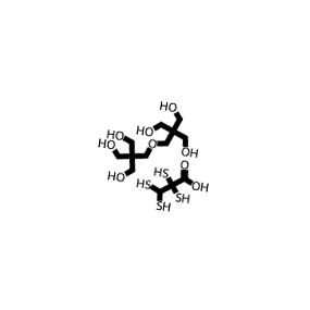 O=C(O)C(S)(S)C(S)S.OCC(CO)(CO)COCC(CO)(CO)CO